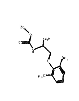 CC(C)(C)OC(=O)NC(COc1c(N)cccc1C(F)(F)F)C(=O)O